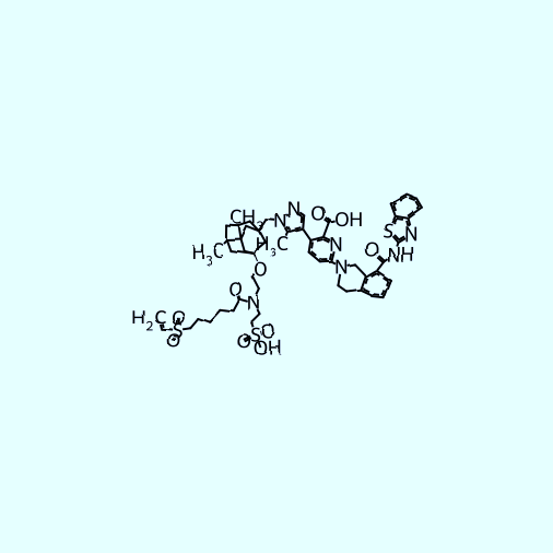 C=CS(=O)(=O)CCCCCC(=O)N(CCOC12CC3(Cn4ncc(-c5ccc(N6CCc7cccc(C(=O)Nc8nc9ccccc9s8)c7C6)nc5C(=O)O)c4C)CC4(C)CC(C)(C1)C4(C3)C2)CCS(=O)(=O)O